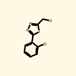 ClCc1nnc(-c2ccccc2Cl)s1